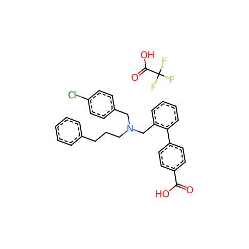 O=C(O)C(F)(F)F.O=C(O)c1ccc(-c2ccccc2CN(CCCc2ccccc2)Cc2ccc(Cl)cc2)cc1